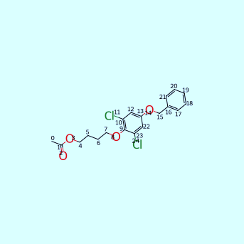 CC(=O)OCCCCOc1c(Cl)cc(OCc2ccccc2)cc1Cl